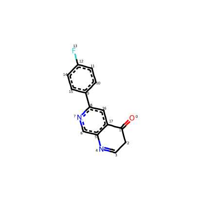 O=C1CC=Nc2cnc(-c3ccc(F)cc3)cc21